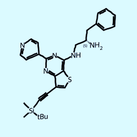 CC(C)(C)[Si](C)(C)C#Cc1csc2c(NC[C@@H](N)Cc3ccccc3)nc(-c3ccncc3)nc12